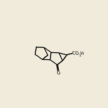 O=C(O)C1C2C(=O)C3C4CCC(C4)C3C12